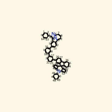 c1ccc(-c2nc3cccc4c5ccc(-c6cccc(-c7cccc(-c8ccc9c(c8)C8(c%10ccccc%10-9)c9ccccc9N(c9ccccc9)c9ccccc98)c7)c6)cc5c2n34)cc1